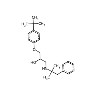 CC(C)(Cc1ccccc1)NCC(O)COc1ccc(C(C)(C)C)cc1